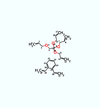 C=CCOCC(OCC=C)(OCC=C)OCC=C.C=Cc1ccccc1C=C